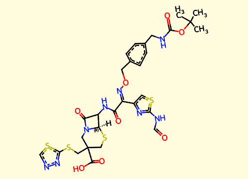 CC(C)(C)OC(=O)NCc1ccc(CON=C(C(=O)NC2C(=O)N3CC(CSc4nncs4)(C(=O)O)CS[C@H]23)c2csc(NC=O)n2)cc1